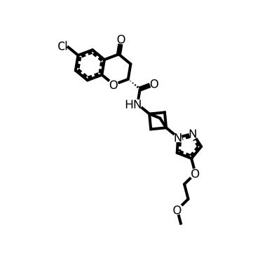 COCCOc1cnn(C23CC(NC(=O)[C@H]4CC(=O)c5cc(Cl)ccc5O4)(C2)C3)c1